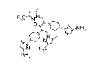 Cc1cc(C(F)(F)F)nn1CC(C(=O)C(Cn1nc(C(F)(F)F)cc1C)N1CCC(c2nc(N)cs2)CC1)N1CCC(c2nc(N)cs2)CC1